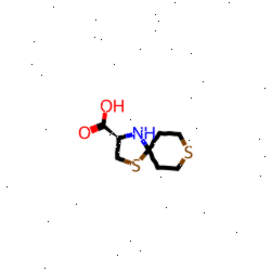 O=C(O)[C@@H]1CSC2(CCSCC2)N1